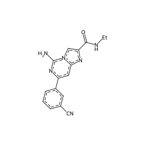 CCNC(=O)c1cn2c(N)nc(-c3cccc(C#N)c3)cc2n1